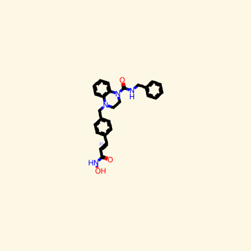 O=C(/C=C/c1ccc(CN2CCN(C(=O)NCc3ccccc3)c3ccccc32)cc1)NO